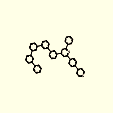 c1ccc(-c2cccc(-c3cccc(-c4cccc(-c5cccc(-c6cc(-c7ccccc7)nc(-c7ccc(-c8ccncc8)cc7)c6)c5)c4)c3)c2)cc1